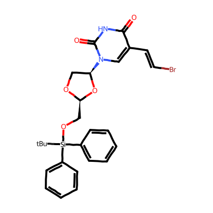 CC(C)(C)[Si](OC[C@H]1OC[C@@H](n2cc(/C=C/Br)c(=O)[nH]c2=O)O1)(c1ccccc1)c1ccccc1